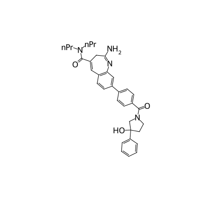 CCCN(CCC)C(=O)C1=Cc2ccc(-c3ccc(C(=O)N4CCC(O)(c5ccccc5)C4)cc3)cc2N=C(N)C1